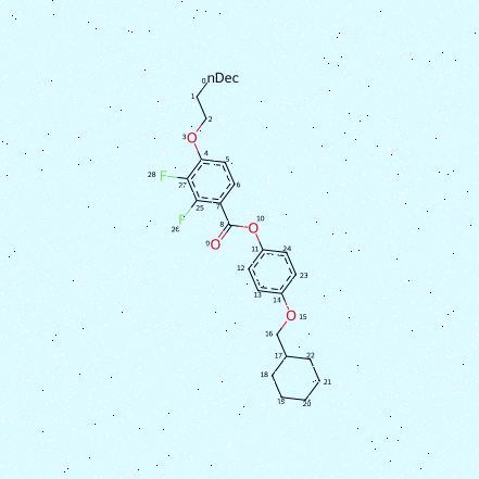 CCCCCCCCCCCCOc1ccc(C(=O)Oc2ccc(OCC3CC[CH]CC3)cc2)c(F)c1F